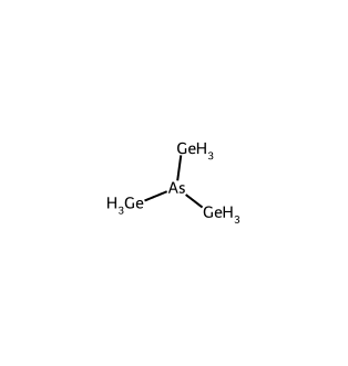 [GeH3][As]([GeH3])[GeH3]